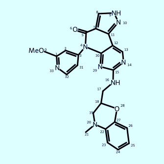 COc1cc(-n2c(=O)c3c[nH]nc3c3cnc(NCC4CN(C)c5ccccc5O4)nc32)ccn1